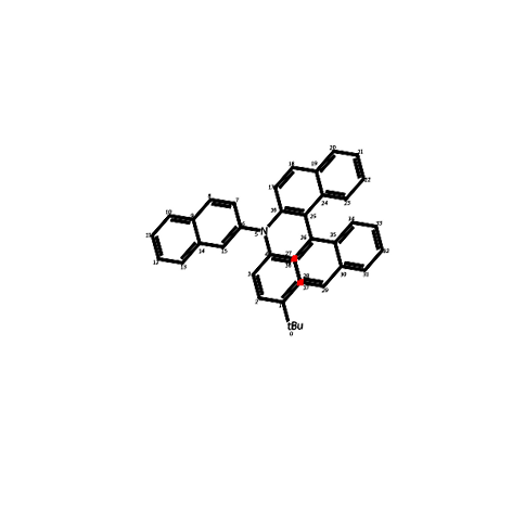 CC(C)(C)c1ccc(N(c2ccc3ccccc3c2)c2ccc3ccccc3c2-c2cccc3ccccc23)cc1